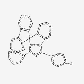 Clc1ccc(-c2oc(-c3ccccc3)c3c2-c2ccccc2C32c3ccccc3-c3ccccc32)cc1